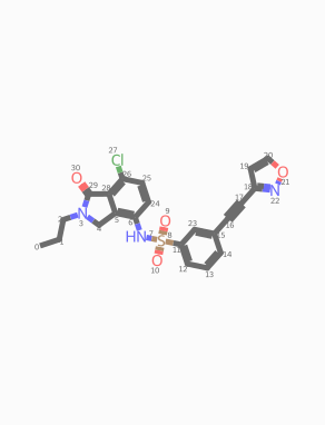 CCCN1Cc2c(NS(=O)(=O)c3cccc(C#Cc4ccon4)c3)ccc(Cl)c2C1=O